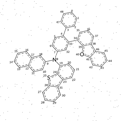 c1ccc(-c2ccc(N(c3ccc4ccccc4c3)c3cccc4c3sc3ccccc34)cc2-c2cccc3c2oc2ccccc23)cc1